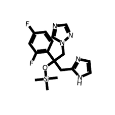 C[Si](C)(C)OC(Cc1ncc[nH]1)(Cn1cncn1)c1ccc(F)cc1F